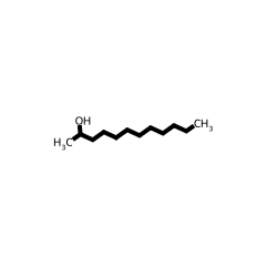 CCCCCCC[CH]CCC(C)O